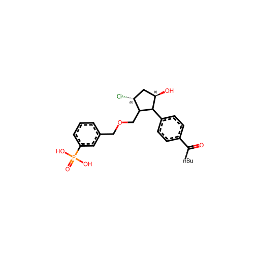 CCCCC(=O)c1ccc(C2C(COCc3cccc(P(=O)(O)O)c3)[C@H](Cl)C[C@H]2O)cc1